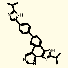 CC(C)c1ncc(-c2ccc(-c3ccc4c(c3)c3cncnc3c3nc(C(C)C)[nH]c43)cc2)[nH]1